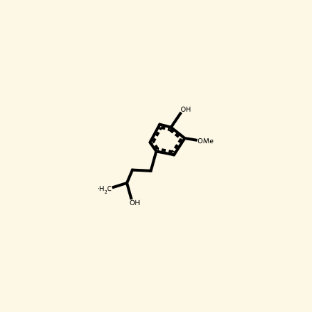 [CH2]C(O)CCc1ccc(O)c(OC)c1